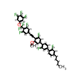 CCCCCc1ccc(-c2ccc(-c3cc(F)c(C#Cc4cc(F)c(C(F)(F)Oc5cc(F)c(F)c(F)c5)c(F)c4)c(OC)c3)c(F)c2)c(F)c1